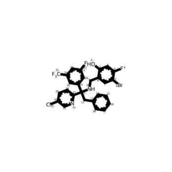 Oc1cc(F)c(Br)cc1CNC(Cc1ccccc1)(c1cc(F)cc(C(F)(F)F)c1)c1ccc(Cl)cn1